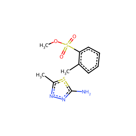 COS(=O)(=O)c1ccccc1C.Cc1nnc(N)s1